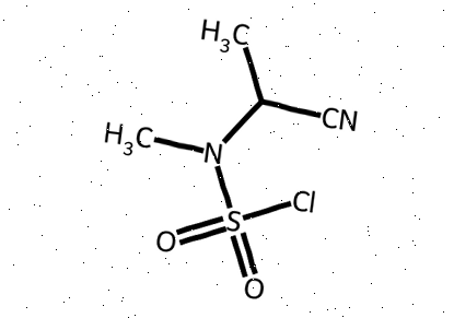 CC(C#N)N(C)S(=O)(=O)Cl